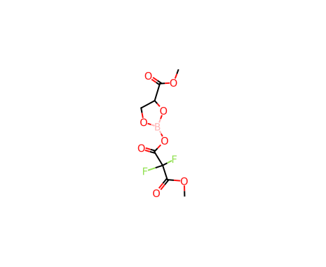 COC(=O)C1COB(OC(=O)C(F)(F)C(=O)OC)O1